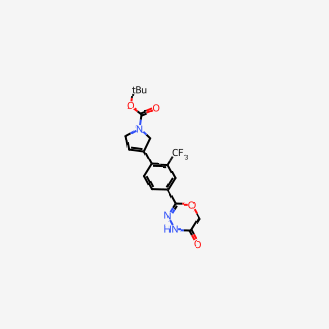 CC(C)(C)OC(=O)N1CC=C(c2ccc(C3=NNC(=O)CO3)cc2C(F)(F)F)C1